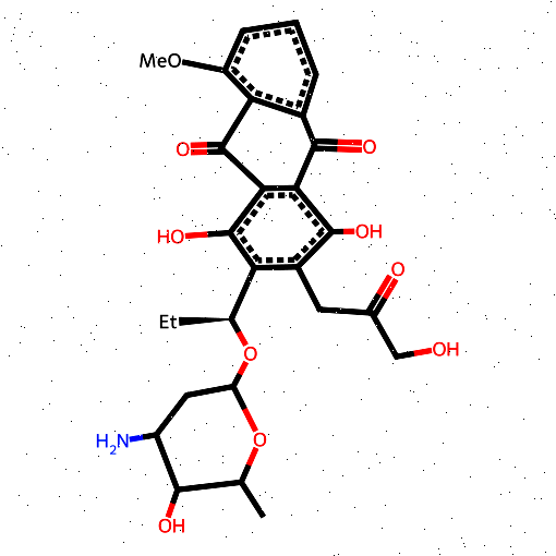 CC[C@H](OC1CC(N)C(O)C(C)O1)c1c(O)c2c(c(O)c1CC(=O)CO)C(=O)c1cccc(OC)c1C2=O